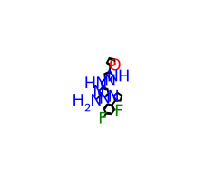 Nc1nc(Nc2cc(-c3ccco3)[nH]n2)cc(N2CCCC2c2ccc(F)cc2F)n1